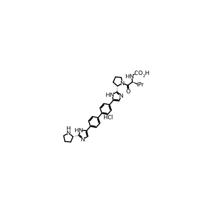 CC(C)[C@H](NC(=O)O)C(=O)N1CCC[C@H]1c1ncc(-c2ccc(-c3ccc(-c4cnc([C@@H]5CCCN5)[nH]4)cc3)cc2)[nH]1.Cl